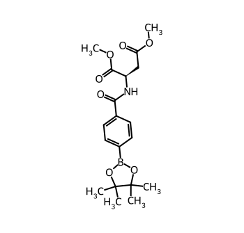 COC(=O)C[C@@H](NC(=O)c1ccc(B2OC(C)(C)C(C)(C)O2)cc1)C(=O)OC